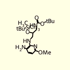 COc1ccc(N)c(NCC(CNC(=O)OC(C)(C)C)O[Si](C)(C)C(C)(C)C)n1